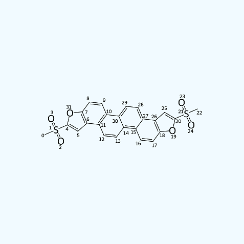 CS(=O)(=O)c1cc2c(ccc3c2ccc2c4ccc5oc(S(C)(=O)=O)cc5c4ccc32)o1